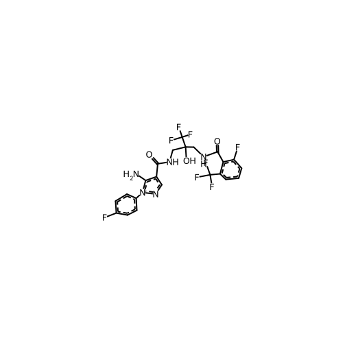 Nc1c(C(=O)NCC(O)(CNC(=O)c2c(F)cccc2C(F)(F)F)C(F)(F)F)cnn1-c1ccc(F)cc1